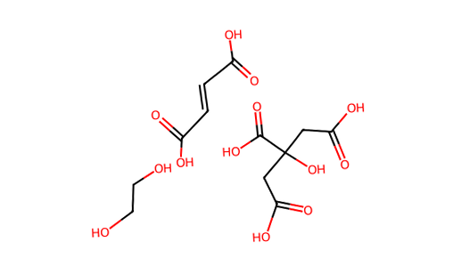 O=C(O)C=CC(=O)O.O=C(O)CC(O)(CC(=O)O)C(=O)O.OCCO